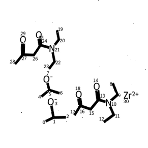 CC(C)[O-].CC(C)[O-].CCN(CC)C(=O)CC(C)=O.CCN(CC)C(=O)CC(C)=O.[Zr+2]